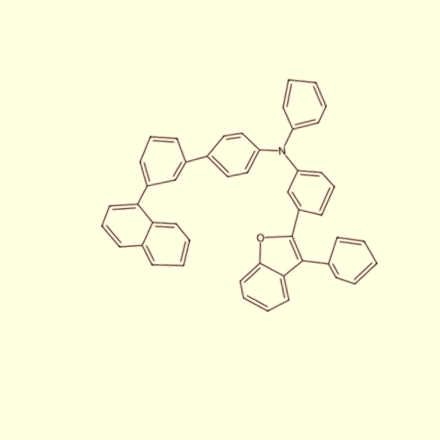 c1ccc(-c2c(-c3cccc(N(c4ccccc4)c4ccc(-c5cccc(-c6cccc7ccccc67)c5)cc4)c3)oc3ccccc23)cc1